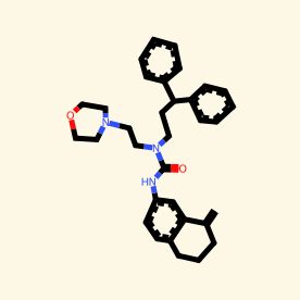 C=C1CCCc2ccc(NC(=O)N(CCC(c3ccccc3)c3ccccc3)CCN3CCOCC3)cc21